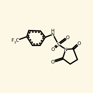 O=C1CCC(=O)N1S(=O)(=O)Nc1ccc(C(F)(F)F)cc1